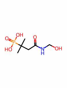 CC(C)(CC(=O)NCO)P(=O)(O)O